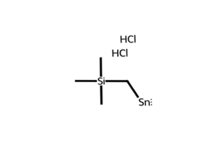 C[Si](C)(C)[CH2][Sn].Cl.Cl